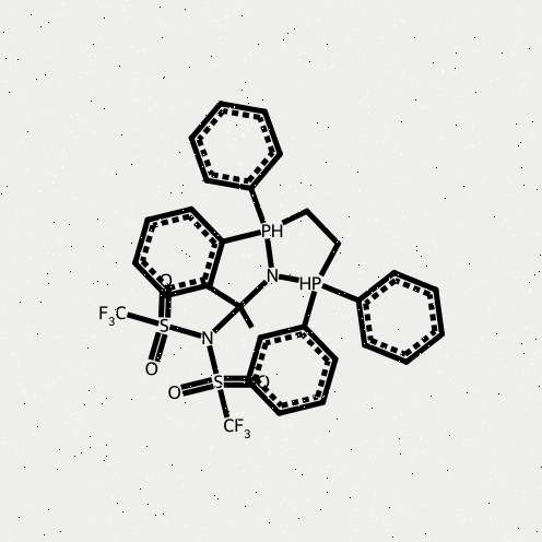 CC(C)(N1[PH](c2ccccc2)(c2ccccc2)CC[PH]1(c1ccccc1)c1ccccc1)N(S(=O)(=O)C(F)(F)F)S(=O)(=O)C(F)(F)F